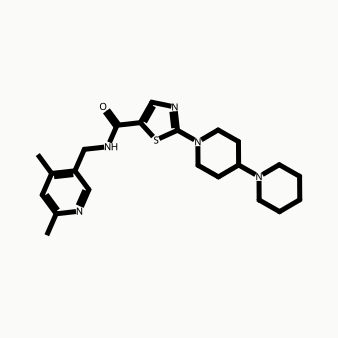 Cc1cc(C)c(CNC(=O)c2cnc(N3CCC(N4CCCCC4)CC3)s2)cn1